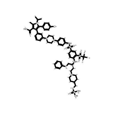 Cc1c(C(=O)O)c(-c2cccc(N3CCN(c4ccc(NS(=O)(=O)c5ccc(N[C@@H](CCN6CCC(COP(=O)(O)O)CC6)CSc6ccccc6)c(S(=O)(=O)C(F)(F)F)c5)cc4)CC3)c2)c(-c2ccc(Cl)cc2)n1C(C)C